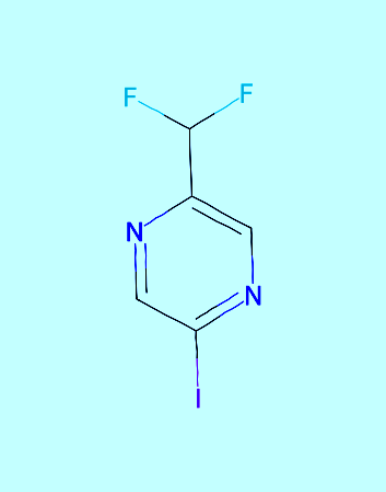 FC(F)c1cnc(I)cn1